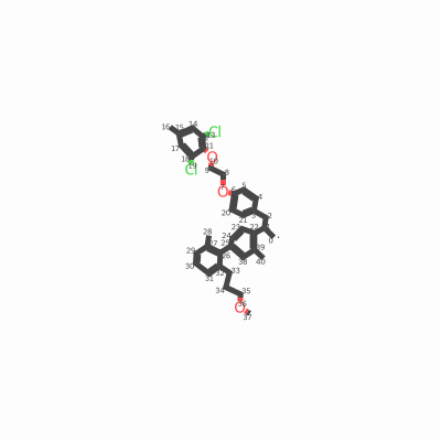 [CH2]C(Cc1ccc(OCCOc2c(Cl)cc(C)cc2Cl)cc1)c1ccc(-c2c(C)cccc2CCCOC)cc1C